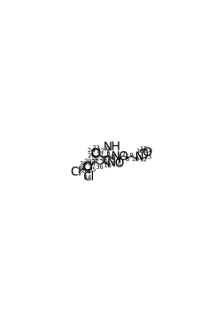 N#Cc1c(NC(=O)OCCCN2CCOCC2)ncc2c1-c1ccccc1C(c1ccc(Cl)c(Cl)c1)C2